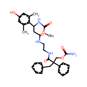 Cc1cc(O)cc(C)c1C(CC(=O)NCCNC(=O)C(COC(N)=O)(Cc1ccccc1)c1ccccc1)NC(=O)OC(C)(C)C